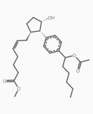 CCCCCC(OC(C)=O)c1ccc([C@@H]2[C@@H](C/C=C\CCCC(=O)OC)CC[C@@H]2O)cc1